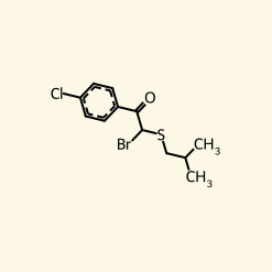 CC(C)CSC(Br)C(=O)c1ccc(Cl)cc1